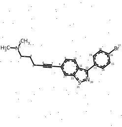 CN(C)CCCC#Cc1ccc2c(-c3ccc(Br)cc3)nsc2c1